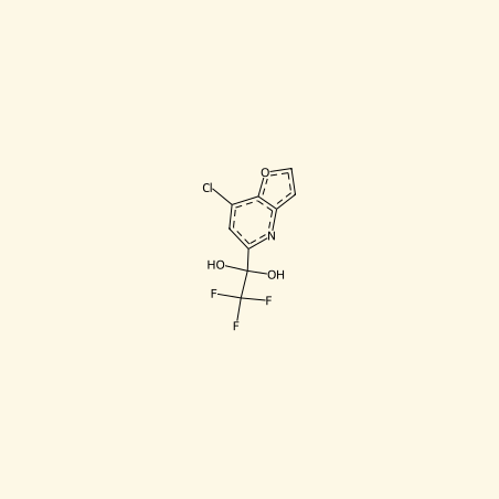 OC(O)(c1cc(Cl)c2occc2n1)C(F)(F)F